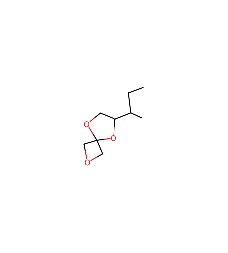 CCC(C)C1COC2(COC2)O1